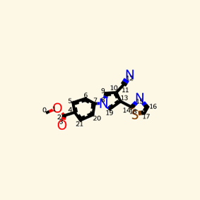 COC(=O)c1ccc(-n2cc(C#N)c(-c3nccs3)c2)cc1